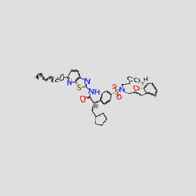 COc1ccc2nc(NC(=O)[C@H](CC3CCCC3)c3ccc(S(=O)(=O)N(CCC(=O)O)Cc4cc5ccccc5o4)cc3)sc2n1